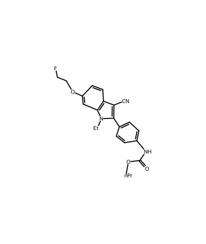 CCCOC(=O)Nc1ccc(-c2c(C#N)c3ccc(OCCF)cc3n2CC)cc1